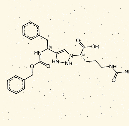 NC(=O)NCCC[C@@H](C(=O)O)N1C=C([C@H](Cc2ccccc2)NC(=O)OCc2ccccc2)NN1